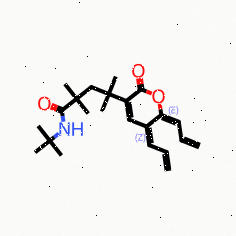 C=C/C=c1/cc(C(C)(C)CC(C)(C)C(=O)NC(C)(C)C)c(=O)o/c1=C/C=C